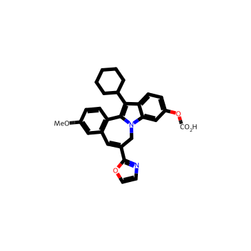 COc1ccc2c(c1)C=C(c1ncco1)Cn1c-2c(C2CCCCC2)c2ccc(OC(=O)O)cc21